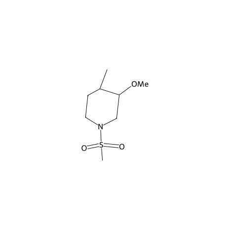 COC1CN(S(C)(=O)=O)CCC1C